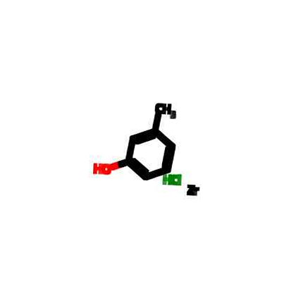 Cc1cccc(O)c1.Cl.[Zr]